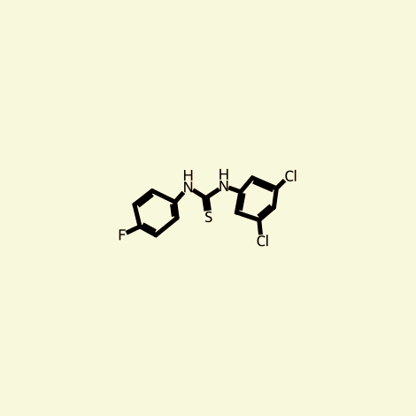 Fc1ccc(NC(=S)Nc2cc(Cl)cc(Cl)c2)cc1